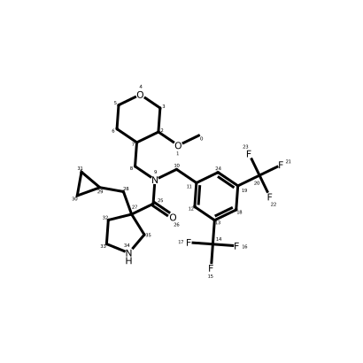 COC1COCCC1CN(Cc1cc(C(F)(F)F)cc(C(F)(F)F)c1)C(=O)C1(CC2CC2)CCNC1